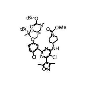 COC(=O)N1CCC(Nc2nc(-c3cc(OC[C@@H](CN(C)C(=O)OC(C)(C)C)O[Si](C)(C)C(C)(C)C)ccc3Cl)nc(-c3c(C)noc3C)c2Cl)CC1